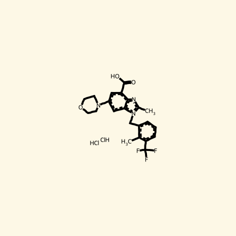 Cc1c(Cn2c(C)nc3c(C(=O)O)cc(N4CCOCC4)cc32)cccc1C(F)(F)F.Cl.Cl